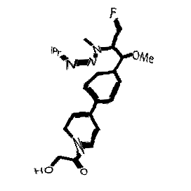 COC(C1C=CC(C2=CCN(C(=O)CO)CC2)=CC1)C(CF)N(C)/N=N\C(C)C